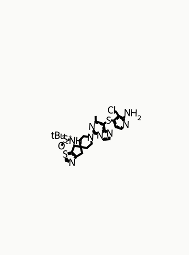 Cc1nc(N2CCC3(CC2)Cc2ncsc2[C@H]3N[S+]([O-])C(C)(C)C)n2ccnc2c1Sc1ccnc(N)c1Cl